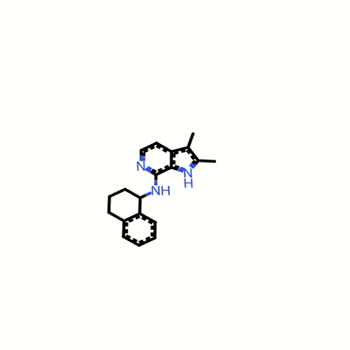 Cc1[nH]c2c(NC3CCCc4ccccc43)nccc2c1C